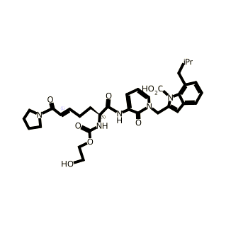 CC(C)Cc1cccc2cc(Cn3cccc(NC(=O)[C@H](CC/C=C/C(=O)N4CCCC4)NC(=O)OCCO)c3=O)n(C(=O)O)c12